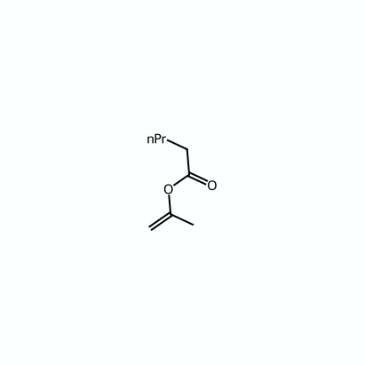 C=C(C)OC(=O)CCCC